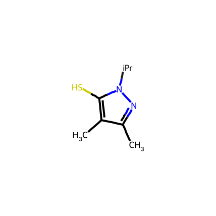 Cc1nn(C(C)C)c(S)c1C